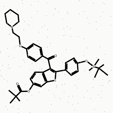 CC(C)(C)C(=O)Oc1ccc2c(C(=O)c3ccc(OCCN4CCCCC4)cc3)c(-c3ccc(O[Si](C)(C)C(C)(C)C)cc3)sc2c1